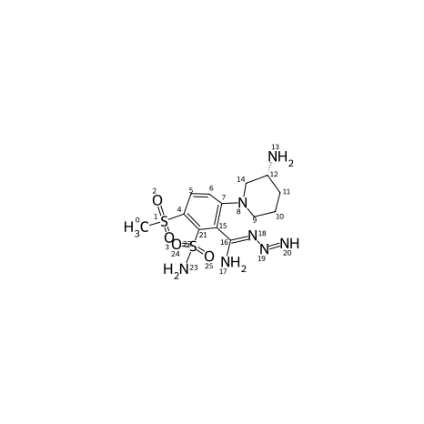 CS(=O)(=O)c1ccc(N2CCC[C@@H](N)C2)c(/C(N)=N/N=N)c1S(N)(=O)=O